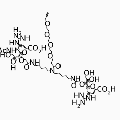 C#CCOCCOCCOCCOCCC(=O)N(CCCCCNC(=O)CO[C@H]([C@H](O)CO)[C@H]1C[C@@H](NC(=N)N)C=C(C(=O)O)O1)CCCCCNC(=O)CO[C@@H]([C@@H]1OC(C(=O)O)=C[C@H](NC(=N)N)[C@H]1NC(C)=O)[C@H](O)CO